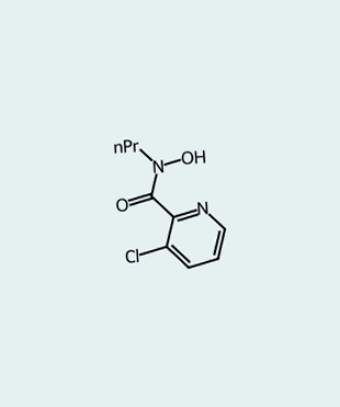 CCCN(O)C(=O)c1ncccc1Cl